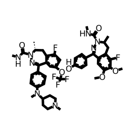 CNC(=O)N1N=C(c2ccc(N(C)C3CCN(C)CC3)cc2)c2cc(OC(F)(F)F)cc(F)c2C[C@H]1C.CNC(=O)N1N=C(c2ccc(O)cc2)c2cc(OC)c(OC)c(F)c2CC1C